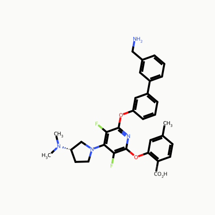 Cc1ccc(C(=O)O)c(Oc2nc(Oc3cccc(-c4cccc(CN)c4)c3)c(F)c(N3CC[C@H](N(C)C)C3)c2F)c1